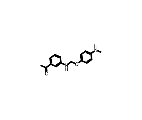 CNc1ccc(OCNc2cccc(C(C)=O)c2)cc1